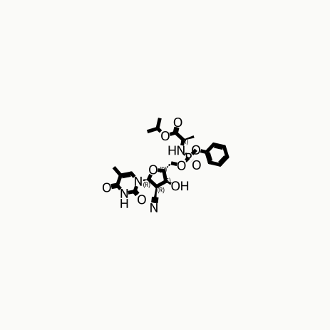 Cc1cn([C@@H]2O[C@H](COP(=O)(N[C@H](C)C(=O)OC(C)C)Oc3ccccc3)[C@@H](O)[C@H]2C#N)c(=O)[nH]c1=O